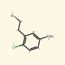 CC(=O)Oc1ccc(Cl)c(CCBr)c1